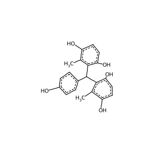 Cc1c(O)ccc(O)c1C(c1ccc(O)cc1)c1c(O)ccc(O)c1C